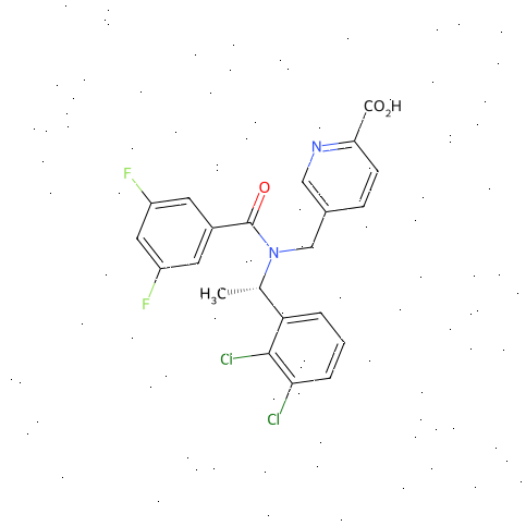 C[C@@H](c1cccc(Cl)c1Cl)N(Cc1ccc(C(=O)O)nc1)C(=O)c1cc(F)cc(F)c1